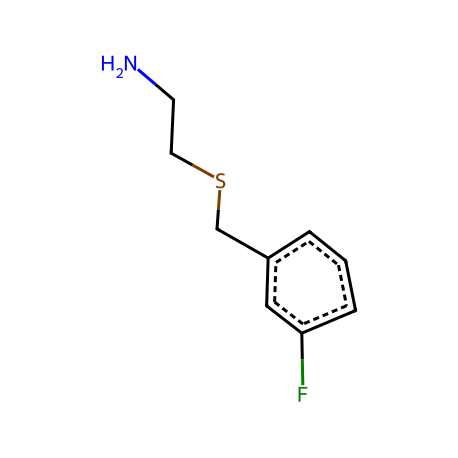 NCCSCc1cccc(F)c1